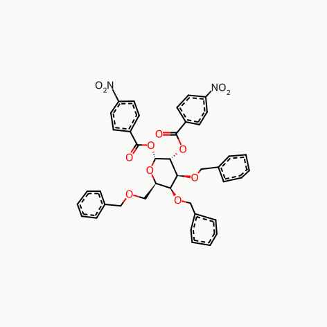 O=C(O[C@H]1O[C@H](COCc2ccccc2)[C@H](OCc2ccccc2)[C@H](OCc2ccccc2)[C@H]1OC(=O)c1ccc([N+](=O)[O-])cc1)c1ccc([N+](=O)[O-])cc1